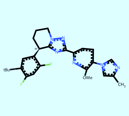 COc1nc(-c2nc3n(n2)CCC[C@@H]3c2cc(C(C)(C)C)c(F)cc2F)ccc1-n1cnc(C)c1